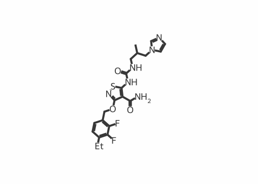 CCc1ccc(COc2nsc(NC(=O)NCC(C)Cn3ccnc3)c2C(N)=O)c(F)c1F